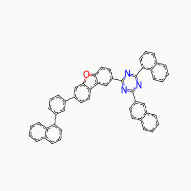 c1cc(-c2ccc3c(c2)oc2ccc(-c4nc(-c5ccc6ccccc6c5)nc(-c5cccc6ccccc56)n4)cc23)cc(-c2cccc3ccccc23)c1